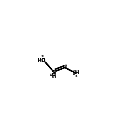 O[SiH]=CS